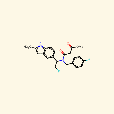 COC(=O)CC(=O)N(Cc1ccc(F)cc1)C(CF)c1ccc2[nH]c(C(=O)O)cc2c1